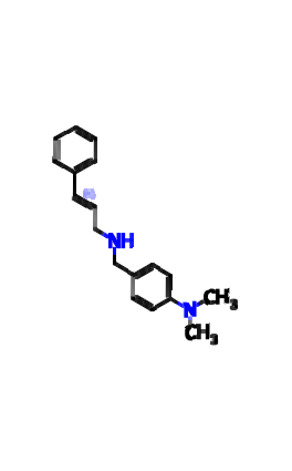 CN(C)c1ccc(CNC/C=C/c2ccccc2)cc1